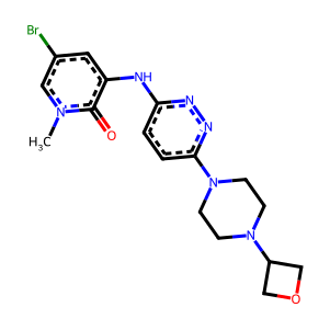 Cn1cc(Br)cc(Nc2ccc(N3CCN(C4COC4)CC3)nn2)c1=O